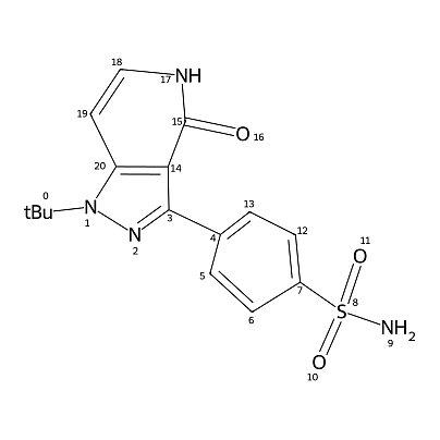 CC(C)(C)n1nc(-c2ccc(S(N)(=O)=O)cc2)c2c(=O)[nH]ccc21